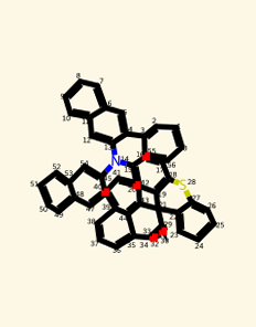 c1ccc(-c2cc3ccccc3cc2N(c2ccc3c(c2)C2(c4ccccc4S3)c3ccccc3-c3cccc4cccc2c34)c2ccc3ccccc3c2)cc1